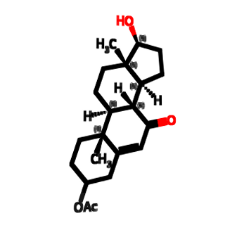 CC(=O)OC1CC[C@@]2(C)C(=CC(=O)[C@H]3[C@@H]4CC[C@H](O)[C@@]4(C)CC[C@@H]32)C1